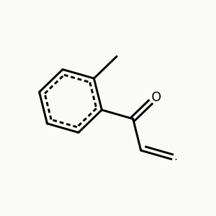 [CH]=CC(=O)c1ccccc1C